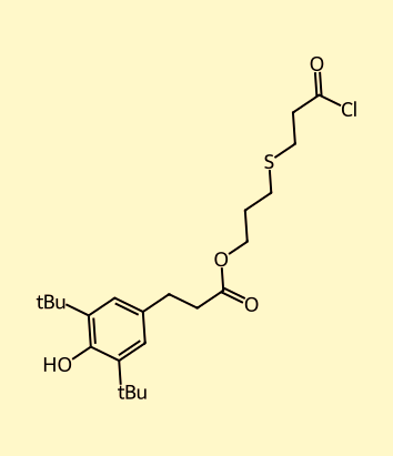 CC(C)(C)c1cc(CCC(=O)OCCCSCCC(=O)Cl)cc(C(C)(C)C)c1O